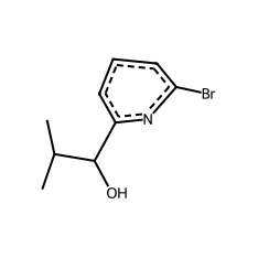 CC(C)C(O)c1cccc(Br)n1